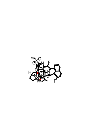 CCS(=O)(=O)c1nc2c3c(nc(-c4cccc5ccc(F)c(C#C[Si](C(C)C)(C(C)C)C(C)C)c45)c(F)c3n1)[C@H](F)C[C@@H]1[C@@H]3CC[C@H](CN21)N3C(=O)OC(C)(C)C